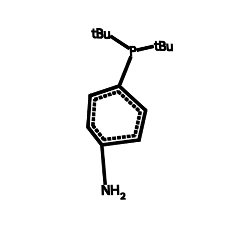 CC(C)(C)P(c1ccc(N)cc1)C(C)(C)C